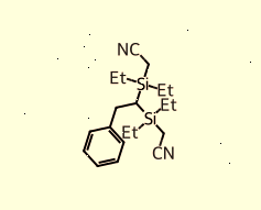 CC[Si](CC)(CC#N)C(Cc1ccccc1)[Si](CC)(CC)CC#N